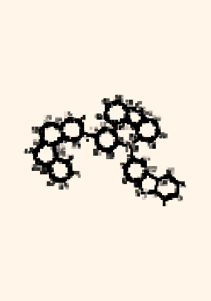 C1=CC2Sc3ccc(N(c4ccc(-c5ccc6ccc7ccc8ccccc8c7c6c5)cc4)c4cccc5sc6ccccc6c45)cc3C2C=C1